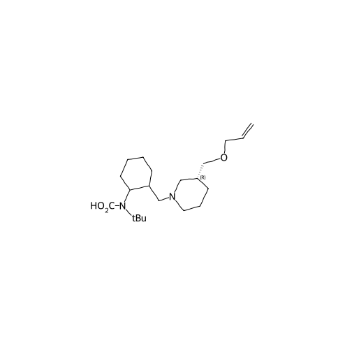 C=CCOC[C@@H]1CCCN(CC2CCCCC2N(C(=O)O)C(C)(C)C)C1